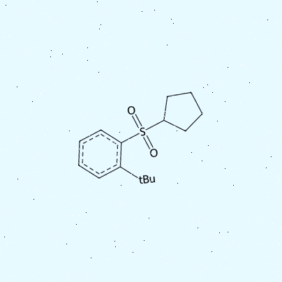 CC(C)(C)c1ccccc1S(=O)(=O)C1CCCC1